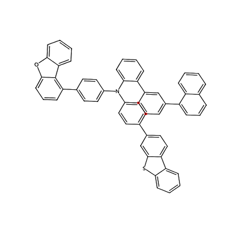 c1cc(-c2ccccc2N(c2ccc(-c3ccc4c(c3)sc3ccccc34)cc2)c2ccc(-c3cccc4oc5ccccc5c34)cc2)cc(-c2cccc3ccccc23)c1